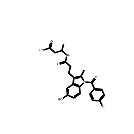 Cc1c(CCC(=O)NC(C)CC(=O)O)c2cc(O)ccc2n1C(=O)c1ccc(Cl)cc1